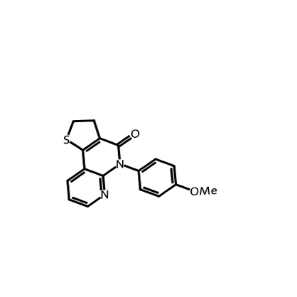 COc1ccc(-n2c(=O)c3c(c4cccnc42)SCC3)cc1